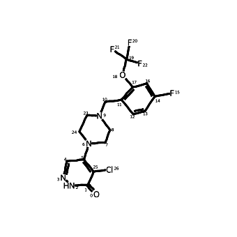 O=c1[nH]ncc(N2CCN(Cc3ccc(F)cc3OC(F)(F)F)CC2)c1Cl